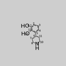 Oc1cccc([C]2[CH]CNCC2)c1O